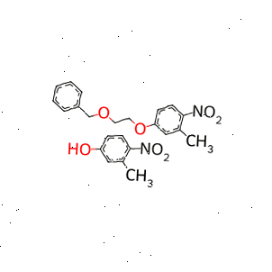 Cc1cc(O)ccc1[N+](=O)[O-].Cc1cc(OCCOCc2ccccc2)ccc1[N+](=O)[O-]